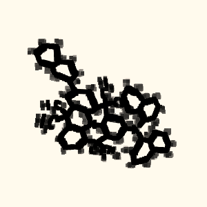 CC1(C)c2cccc3c2N2c4c1cc(-c1ccc5ccccc5c1)cc4C(C)(C)c1cc(N(C4=c5ccccc5=CCC4)c4cccc5ccccc45)cc(c12)C3(C)C